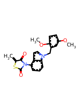 C=C1SC(=O)N(c2cccc3c2ccn3Cc2cc(OC)ccc2OC)C1=O